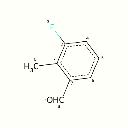 Cc1c(F)cccc1[C]=O